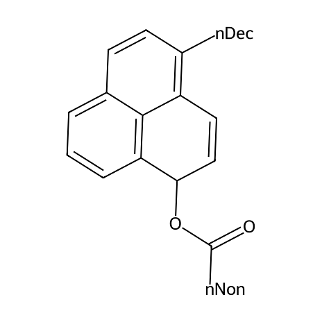 CCCCCCCCCCc1ccc2cccc3c2c1C=CC3OC(=O)CCCCCCCCC